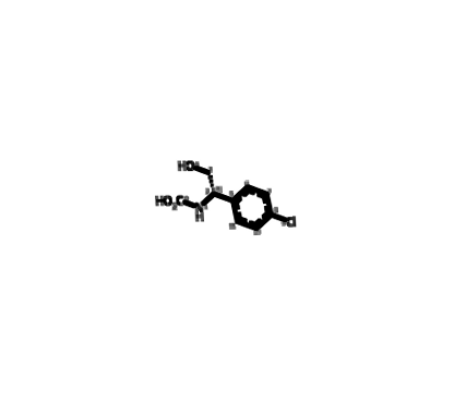 O=C(O)N[C@H](CO)c1ccc(Cl)cc1